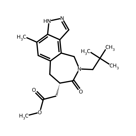 COC(=O)C[C@@H]1Cc2cc(C)c3[nH]ncc3c2CN(CC(C)(C)C)C1=O